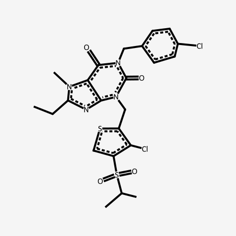 CCc1nc2c(c(=O)n(Cc3ccc(Cl)cc3)c(=O)n2Cc2scc(S(=O)(=O)C(C)C)c2Cl)n1C